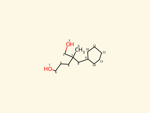 CC(CO)(CCCO)CC1CCCCC1